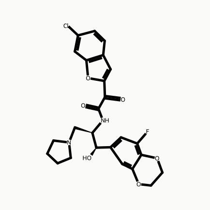 O=C(N[C@H](CN1CCCC1)[C@H](O)c1cc(F)c2c(c1)OCCO2)C(=O)c1cc2ccc(Cl)cc2o1